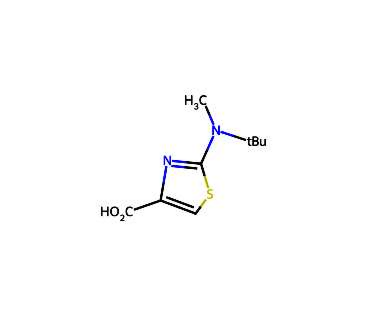 CN(c1nc(C(=O)O)cs1)C(C)(C)C